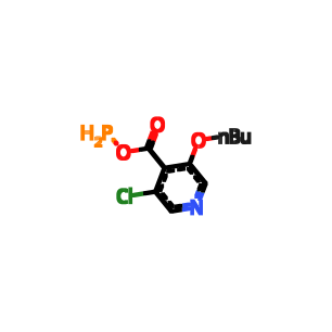 CCCCOc1cncc(Cl)c1C(=O)OP